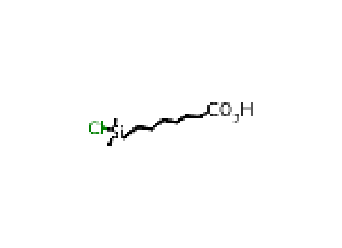 C[Si](C)(Cl)CCCCCCCC(=O)O